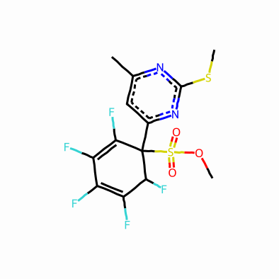 COS(=O)(=O)C1(c2cc(C)nc(SC)n2)C(F)=C(F)C(F)=C(F)C1F